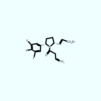 C=CCC(=O)N1[C@@H](/C=C/C(=O)OCC)CC[C@H]1c1cc(F)c(F)c(F)c1